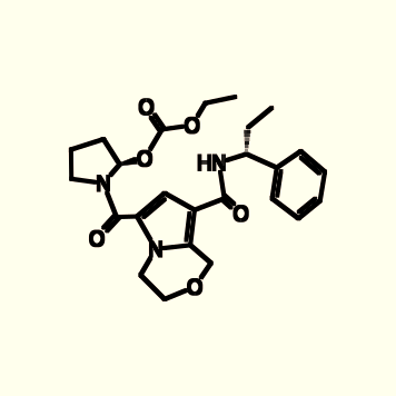 CCOC(=O)O[C@@H]1CCCN1C(=O)c1cc(C(=O)N[C@H](CC)c2ccccc2)c2n1CCOC2